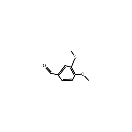 COc1ccc(C=O)cc1SC